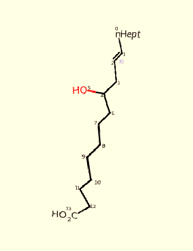 CCCCCCC/C=C/CC(O)CCCCCCCC(=O)O